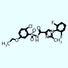 CCOc1ccc(Cl)c(S(=O)(=O)NC(=O)c2cn(-c3c(F)cccc3F)c(C)n2)c1